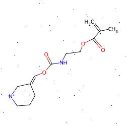 C=C(C)C(=O)OCCNC(=O)OC=C1CCC[N+]C1